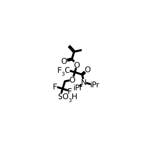 C=C(C)C(=O)OC(OCC(F)(F)S(=O)(=O)O)(C(=O)N(C(C)C)C(C)C)C(F)(F)F